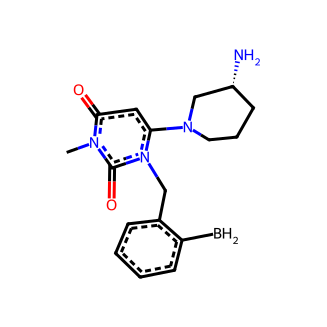 Bc1ccccc1Cn1c(N2CCC[C@@H](N)C2)cc(=O)n(C)c1=O